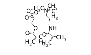 C=C(C)C(=O)NCCC[N+](C)(C)C.C=C(C)C(=O)OCCS(=O)(=O)[O-]